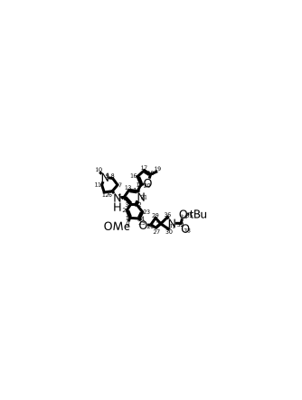 COc1cc2c(NC3CCN(C)CC3)cc(-c3ccc(C)o3)nc2cc1OC1CC2(C1)CN(C(=O)OC(C)(C)C)C2